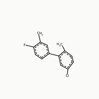 Cc1cc(-c2cc(Cl)ccc2C)ccc1F